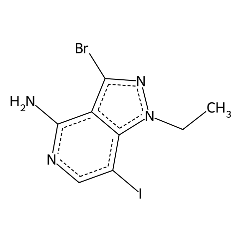 CCn1nc(Br)c2c(N)ncc(I)c21